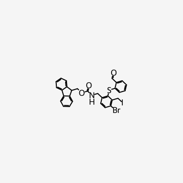 O=Cc1ccccc1Sc1c(CNC(=O)OCC2c3ccccc3-c3ccccc32)ccc(Br)c1CI